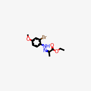 CCOC(=O)C(C)=NNc1ccc(OC)cc1Br